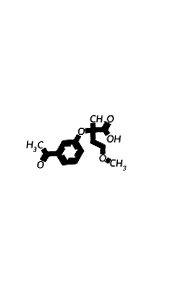 COCCC(C)(Oc1cccc(C(C)=O)c1)C(=O)O